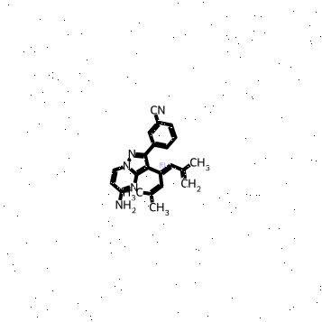 C=C(C)/C=C(\C=C(C)C)c1c(-c2cccc(C#N)c2)nn2ccc(N)nc12